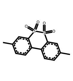 Cc1ccc2c(c1)S(=O)(=O)S(=O)(=O)c1cc(C)ccc1-2